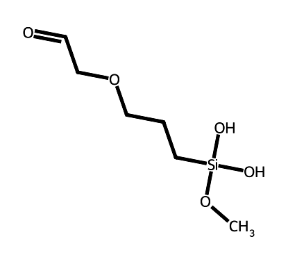 CO[Si](O)(O)CCCOCC=O